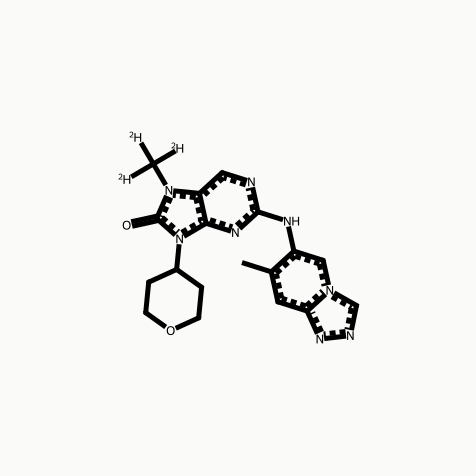 [2H]C([2H])([2H])n1c(=O)n(C2CCOCC2)c2nc(Nc3cn4cnnc4cc3C)ncc21